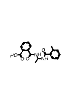 Cc1ccccc1C(=O)NC(C)NC(=O)c1ccccc1C(=O)O